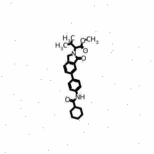 COC(=O)C(C(C)C)N1Cc2ccc(-c3ccc(NC(=O)C4CCCCC4)cc3)cc2C1=O